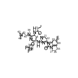 C=CC(=O)Nc1cc(Nc2nccc(-n3c(=O)n4c5c(cc(F)cc53)CCC4)n2)c(OCC(F)(F)F)nc1N(C)CCN(C)I